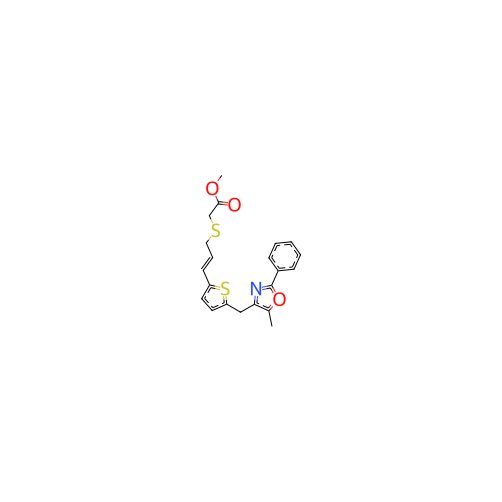 COC(=O)CSCC=Cc1ccc(Cc2nc(-c3ccccc3)oc2C)s1